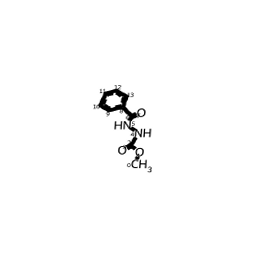 COC(=O)NNC(=O)c1ccccc1